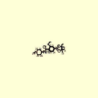 CCc1cc(B2OC(C)(C)C(C)(C)O2)ccc1C(=O)NC1CCN(C)CC1